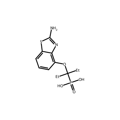 CCC(CC)(Oc1cccc2sc(N)nc12)P(=O)(O)O